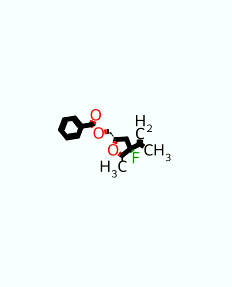 C=C(C)C1(F)C[C@@H](COC(=O)c2ccccc2)O[C@H]1C